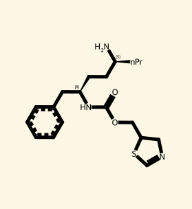 CCC[C@H](N)CC[C@H](Cc1ccccc1)NC(=O)OCC1CN=CS1